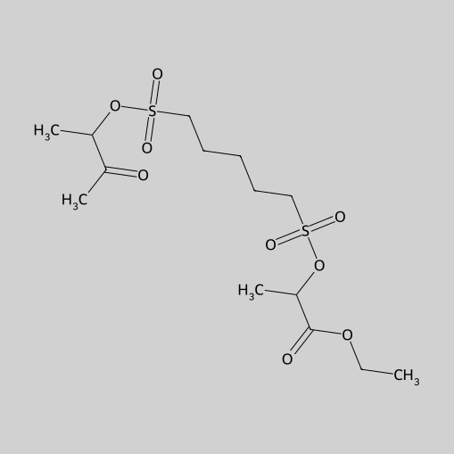 CCOC(=O)C(C)OS(=O)(=O)CCCCCS(=O)(=O)OC(C)C(C)=O